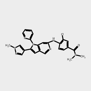 CN(C)C(=O)c1ccc(Nc2cc3c(cn2)cc(-c2cnn(C)c2)n3-c2ccccn2)c(Cl)c1